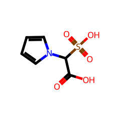 O=C(O)C(n1cccc1)S(=O)(=O)O